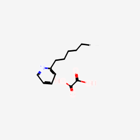 CCCCCCc1ccccn1.O=C(O)C(=O)O